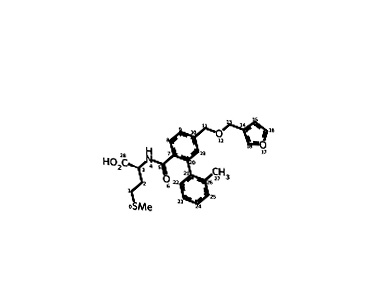 CSCC[C@H](NC(=O)c1ccc(COCc2ccoc2)cc1-c1ccccc1C)C(=O)O